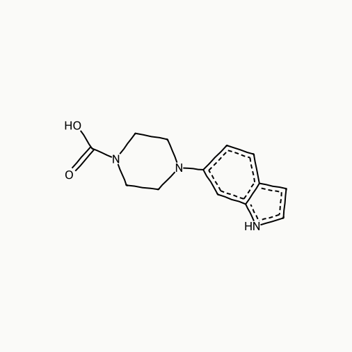 O=C(O)N1CCN(c2ccc3cc[nH]c3c2)CC1